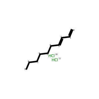 C=CC=CCCCCCC.Cl.Cl